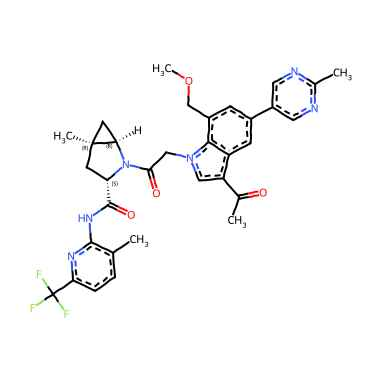 COCc1cc(-c2cnc(C)nc2)cc2c(C(C)=O)cn(CC(=O)N3[C@H](C(=O)Nc4nc(C(F)(F)F)ccc4C)C[C@@]4(C)C[C@@H]34)c12